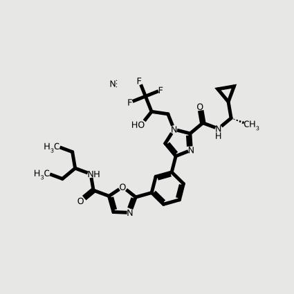 CCC(CC)NC(=O)c1cnc(-c2cccc(-c3cn(CC(O)C(F)(F)F)c(C(=O)N[C@@H](C)C4CC4)n3)c2)o1.[N]